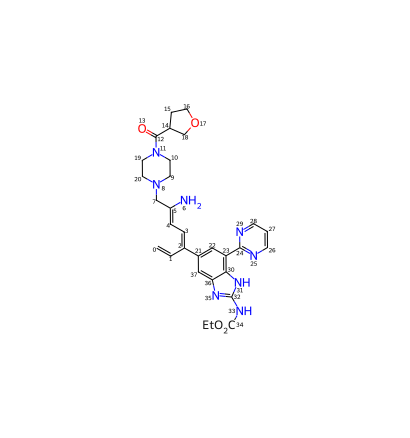 C=C/C(=C\C=C(/N)CN1CCN(C(=O)C2CCOC2)CC1)c1cc(-c2ncccn2)c2[nH]c(NC(=O)OCC)nc2c1